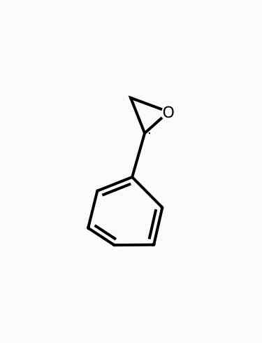 c1ccc([C]2CO2)cc1